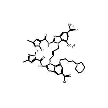 CCn1nc(C)cc1C(=O)Nc1nc2cc(C(N)=O)cc(OCCCN3CCOCC3)c2n1C/C=C/Cn1c(NC(=O)c2cc(C)nn2CC)nc2cc(C(N)=O)cc(C(=O)O)c21